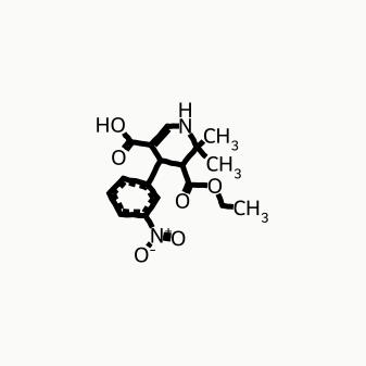 CCOC(=O)C1C(c2cccc([N+](=O)[O-])c2)C(C(=O)O)=CNC1(C)C